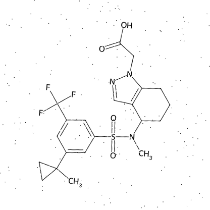 CN(C1CCCc2c1cnn2CC(=O)O)S(=O)(=O)c1cc(C(F)(F)F)cc(C2(C)CC2)c1